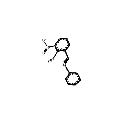 O=[N+]([O-])c1cccc(/C=N/c2ccccc2)c1O